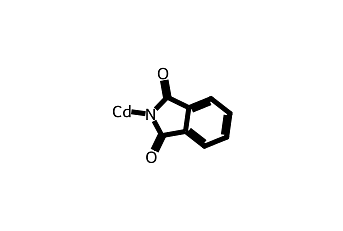 O=C1c2ccccc2C(=O)[N]1[Cd]